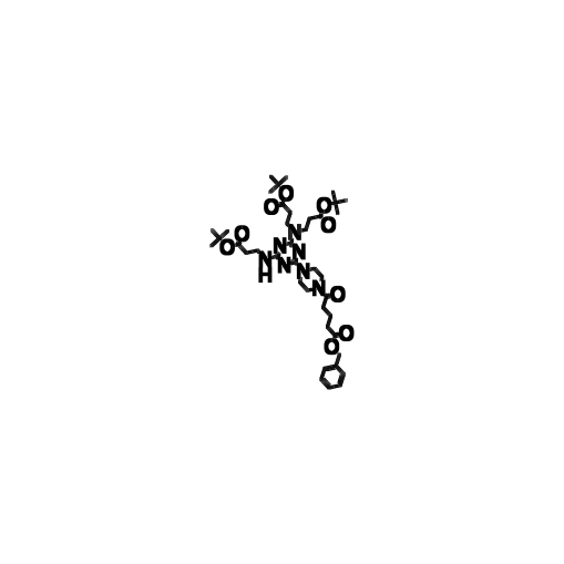 CC(C)(C)OC(=O)CCNc1nc(N(CCC(=O)OC(C)(C)C)CCC(=O)OC(C)(C)C)nc(N2CCN(C(=O)CCCC(=O)OCc3ccccc3)CC2)n1